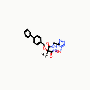 CC(OCc1ccc(-c2ccccc2)cc1)(C(=O)NO)C(=O)NCc1nnn[nH]1